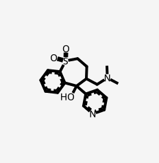 CN(C)CC1CCS(=O)(=O)c2ccccc2C1(O)c1cccnc1